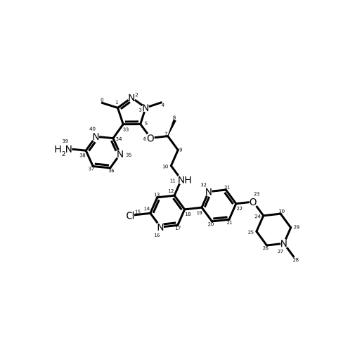 Cc1nn(C)c(O[C@@H](C)CCNc2cc(Cl)ncc2-c2ccc(OC3CCN(C)CC3)cn2)c1-c1nccc(N)n1